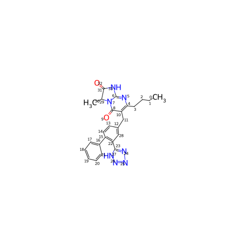 CCCCc1nc2n(c(=O)c1Cc1ccc(-c3ccccc3)c(-c3nnn[nH]3)c1)C(C)C(=O)N2